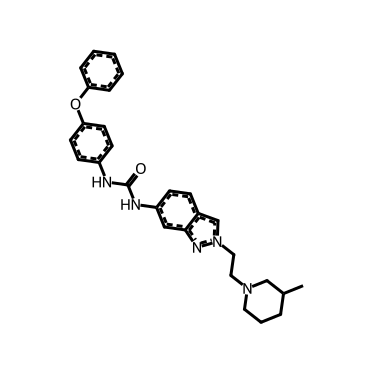 CC1CCCN(CCn2cc3ccc(NC(=O)Nc4ccc(Oc5ccccc5)cc4)cc3n2)C1